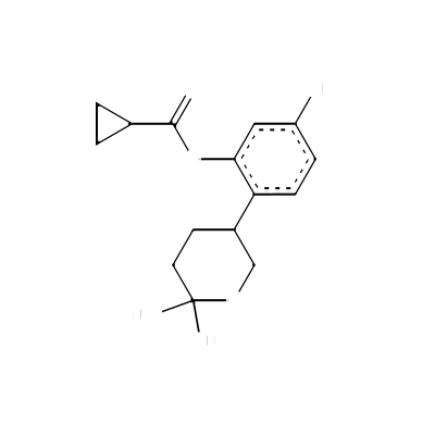 Cc1ccc(C2CCC(C)(C)OC2)c(OC(=O)C2CC2)c1